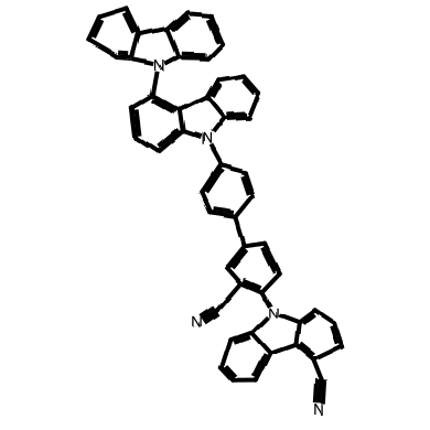 N#Cc1cc(-c2ccc(-n3c4ccccc4c4c(-n5c6ccccc6c6ccccc65)cccc43)cc2)ccc1-n1c2ccccc2c2c(C#N)cccc21